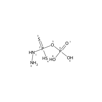 NNP(=S)(S)OP(=O)(O)O